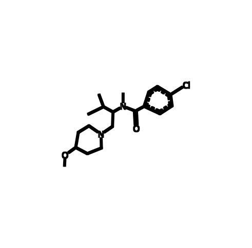 COC1CCN(CC(C(C)C)N(C)C(=O)c2ccc(Cl)cc2)CC1